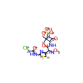 CO/N=C(\C(=O)NC1C(=O)N(S(=O)(=O)O)C1(C)C)c1csc(NC(=O)CCl)n1